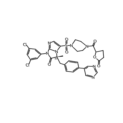 C[C@@]1(Cc2ccc(-c3cncnc3)cc2)C(=O)N(c2cc(Cl)cc(Cl)c2)c2ncc(S(=O)(=O)N3CCN(C(=O)C4CCC(=O)O4)CC3)n21